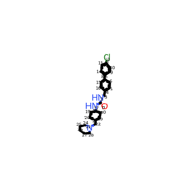 O=C(NCc1ccc(-c2ccc(Cl)cc2)cc1)Nc1ccc(CN2CCCCC2)cc1